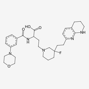 O=C(NC(CCN1CCCC(F)(CCc2ccc3c(n2)NCCC3)C1)C(=O)O)c1cccc(N2CCOCC2)c1